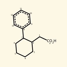 O=C(O)CC1CCCC[C]1c1ccccc1